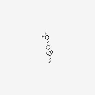 C=CCCC1COC(C2CCC(CCc3ccc(F)c(F)c3)CC2)OC1